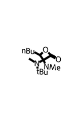 CCCCC1OC(=O)C1(NC)N(C)C(C)(C)C